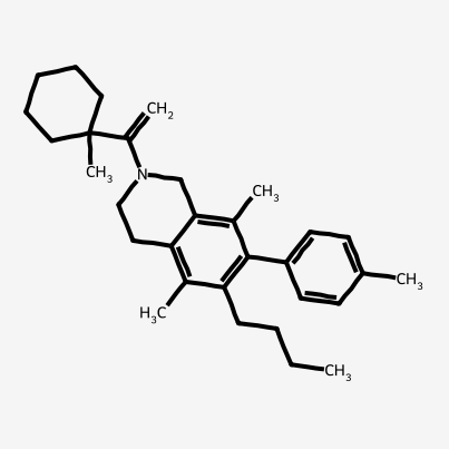 C=C(N1CCc2c(C)c(CCCC)c(-c3ccc(C)cc3)c(C)c2C1)C1(C)CCCCC1